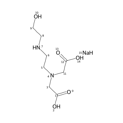 O=C(O)CN(CCNCCO)CC(=O)O.[NaH]